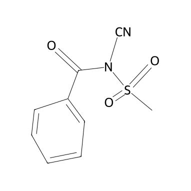 CS(=O)(=O)N(C#N)C(=O)c1ccccc1